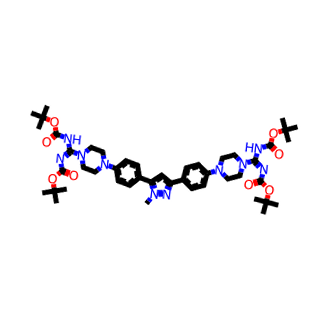 Cn1nc(-c2ccc(N3CCN(/C(=N\C(=O)OC(C)(C)C)NC(=O)OC(C)(C)C)CC3)cc2)cc1-c1ccc(N2CCN(/C(=N\C(=O)OC(C)(C)C)NC(=O)OC(C)(C)C)CC2)cc1